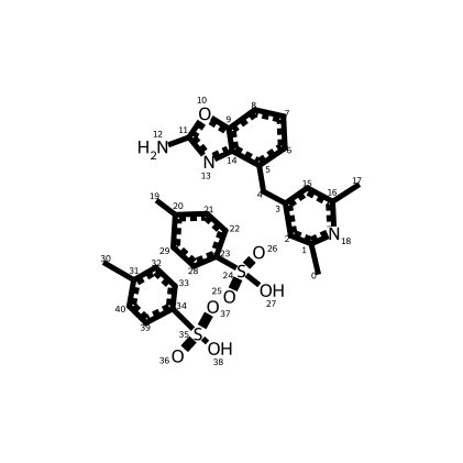 Cc1cc(Cc2cccc3oc(N)nc23)cc(C)n1.Cc1ccc(S(=O)(=O)O)cc1.Cc1ccc(S(=O)(=O)O)cc1